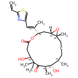 C=Cc1nc(/C=C(\C)[C@@H]2C[C@@H]3O[C@]3(C)CCC[C@H](C)[C@H](O)[C@@H](C)C(=O)C(C)(C)[C@@H](O)CC(=O)O2)cs1